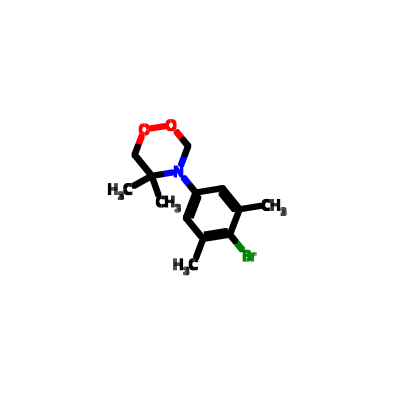 Cc1cc(N2COOCC2(C)C)cc(C)c1Br